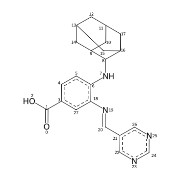 O=C(O)c1ccc(NC2C3CC4CC(C3)CC2C4)c(N=Cc2cncnc2)c1